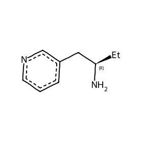 CC[C@@H](N)Cc1cccnc1